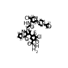 NC(=O)c1cc(-c2cn(CC(=O)Nc3cc(N4CCN(C5COC5)CC4)ncc3Cl)c3nc4n(c(=O)c23)CCC4)c(F)c(Cl)c1O